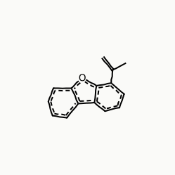 C=C(C)c1cccc2c1oc1ccccc12